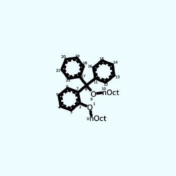 CCCCCCCCOc1ccccc1C(OCCCCCCCC)(c1ccccc1)c1ccccc1